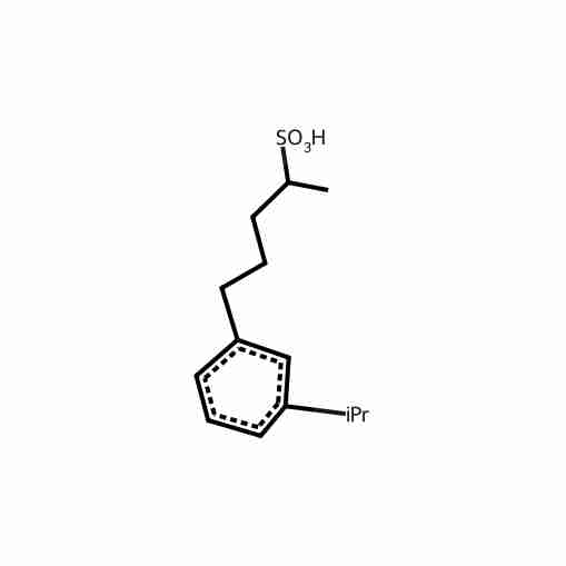 CC(C)c1cccc(CCCC(C)S(=O)(=O)O)c1